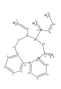 C=CC1CCc2ccccc2-c2cccc[n+]2C(=C)CC1[N+](=C)/C=C\C